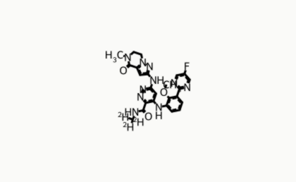 [2H]C([2H])([2H])NC(=O)c1nnc(Nc2cc3n(n2)CCN(C)C3=O)cc1Nc1cccc(-c2ncc(F)cn2)c1OC